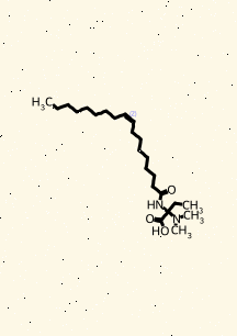 CCCCCCCC/C=C\CCCCCCCC(=O)NC(CC)(C(=O)O)N(C)C